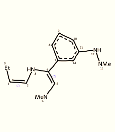 CC/C=C\N/C(=C\NC)c1cccc(NNC)c1